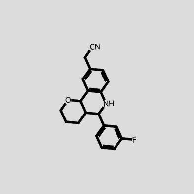 N#CCc1ccc2c(c1)C1OCCCC1C(c1cccc(F)c1)N2